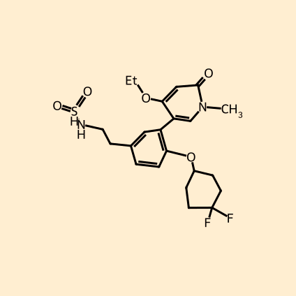 CCOc1cc(=O)n(C)cc1-c1cc(CCN[SH](=O)=O)ccc1OC1CCC(F)(F)CC1